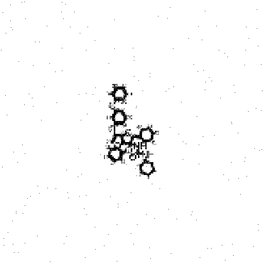 O=C(NC1CCCCC1)N[C@@]1(Oc2ccccc2)c2occ(Oc3cccc(Oc4ccccc4)c3)c2OC1C1CCCCC1